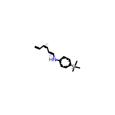 C=C/C=C\C=C\Nc1ccc([Si](C)(C)C)cc1